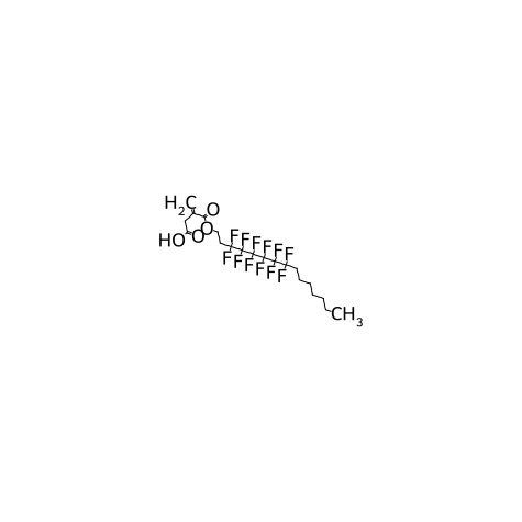 C=C(CC(=O)O)C(=O)OCCC(F)(F)C(F)(F)C(F)(F)C(F)(F)C(F)(F)C(F)(F)CCCCCCC